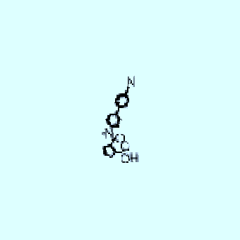 CN(C(=O)C1=C(C(=O)O)CCC1)c1ccc(-c2ccc(C#N)cc2)cc1